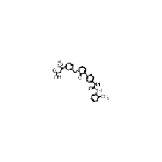 Cc1ccccc1NC(=O)Nc1ccc(-c2cccn(Cc3cccc(C(C)CC(=O)O)c3)c2=O)cc1